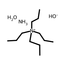 CCC[N+](CCC)(CCC)CCC.N.O.[OH-]